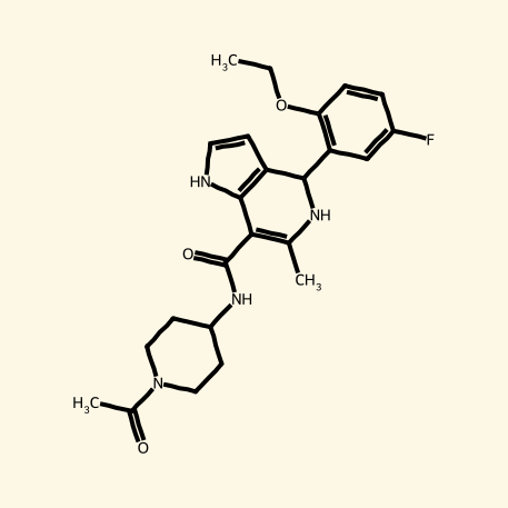 CCOc1ccc(F)cc1C1NC(C)=C(C(=O)NC2CCN(C(C)=O)CC2)c2[nH]ccc21